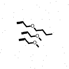 C=CCOC.C=CCOC.C=CCOCCCC